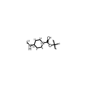 CC(C)(C)OC(=O)N1CCC(NI)CC1